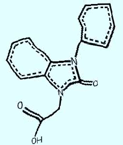 O=C(O)Cn1c(=O)n(-c2ccccc2)c2ccccc21